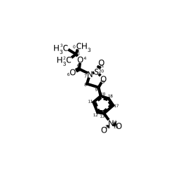 CC(C)(C)OC(=O)N1CC(c2ccc([N+](=O)[O-])cc2)OS1=O